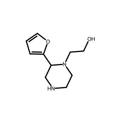 OCCN1CCNCC1c1ccco1